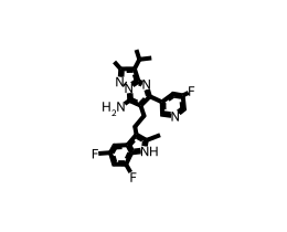 Cc1nn2c(N)c(CCc3c(C)[nH]c4c(F)cc(F)cc34)c(-c3cncc(F)c3)nc2c1C(C)C